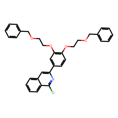 Clc1nc(-c2ccc(OCCOCc3ccccc3)c(OCCOCc3ccccc3)c2)cc2ccccc12